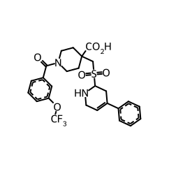 O=C(c1cccc(OC(F)(F)F)c1)N1CCC(CS(=O)(=O)C2CC(c3ccccc3)=CCN2)(C(=O)O)CC1